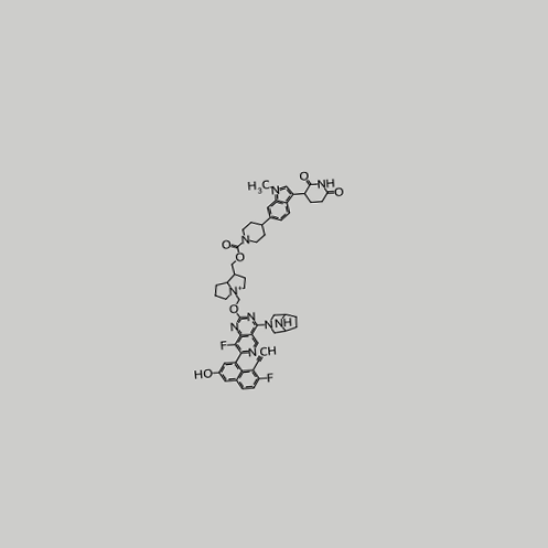 C#Cc1c(F)ccc2cc(O)cc(-c3ncc4c(N5CC6CCC(C5)N6)nc(OC[N+]56CCCC5C(COC(=O)N5CCC(c7ccc8c(C9CCC(=O)NC9=O)cn(C)c8c7)CC5)CC6)nc4c3F)c12